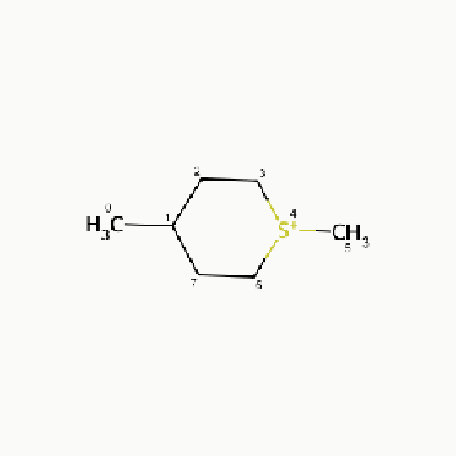 CC1CC[S+](C)CC1